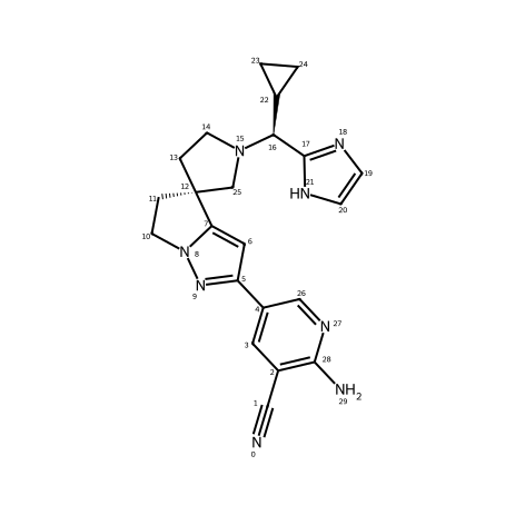 N#Cc1cc(-c2cc3n(n2)CC[C@@]32CCN([C@H](c3ncc[nH]3)C3CC3)C2)cnc1N